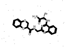 CC(C)[C@H](Nc1nc(CNC(=O)C2COc3ccccc3O2)nc2ccccc12)C(N)=O